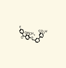 Cc1c(OCc2cccc(-c3cccc(C(=O)O)c3)c2)ccc(C(=O)c2ccc(F)cc2)c1O